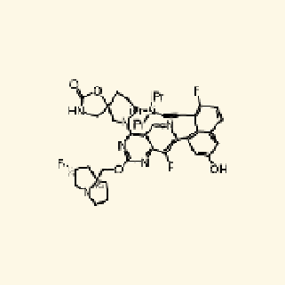 CC(C)[Si](C#Cc1c(F)ccc2cc(O)cc(-c3ncc4c(N5CCCC6(CNC(=O)O6)C5)nc(OC[C@@]56CCCN5C[C@H](F)C6)nc4c3F)c12)(C(C)C)C(C)C